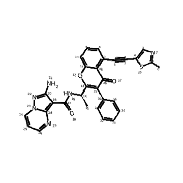 Cc1ncc(C#Cc2cccc3oc([C@@H](C)NC(=O)c4c(N)nn5cccnc45)c(-c4ccccc4)c(=O)c23)s1